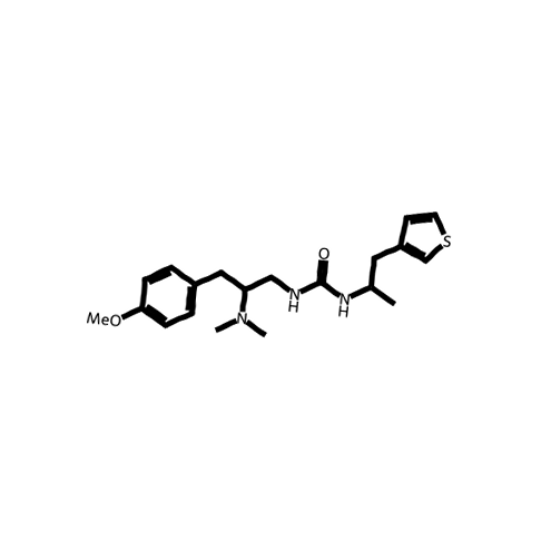 COc1ccc(CC(CNC(=O)NC(C)Cc2ccsc2)N(C)C)cc1